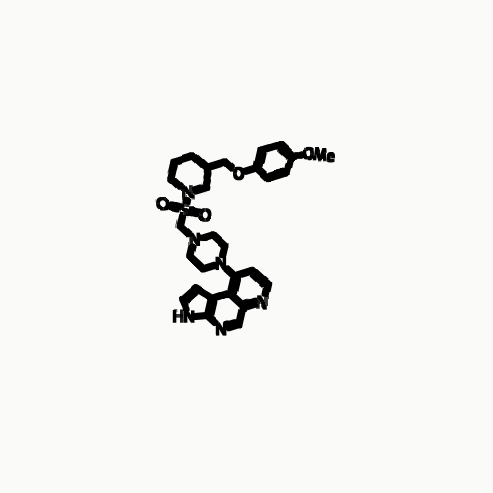 COc1ccc(OCC2CCCN(S(=O)(=O)CN3CCN(c4ccnc5cnc6[nH]ccc6c45)CC3)C2)cc1